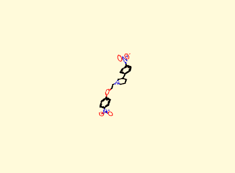 O=[N+]([O-])c1ccc(OCCN2CCCC(c3ccc([N+](=O)[O-])cc3)C2)cc1